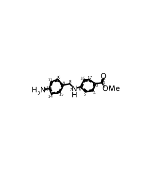 COC(=O)c1ccc(NCc2ccc(N)cc2)cc1